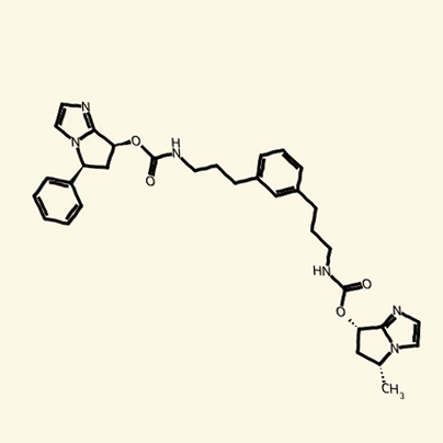 C[C@@H]1C[C@H](OC(=O)NCCCc2cccc(CCCNC(=O)O[C@H]3C[C@@H](c4ccccc4)n4ccnc43)c2)c2nccn21